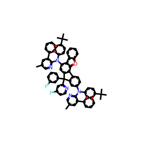 Cc1cnc(N(c2ccc(C(C)(C)C)cc2)c2ccc3c(c2)C(c2cccc(F)c2)(c2cc(F)ccn2)c2cc(N(c4ccc(C(C)(C)C)cc4)c4ncc(C)cc4-c4ccccc4)c4c(oc5ccccc54)c2-3)c(-c2ccccc2)c1